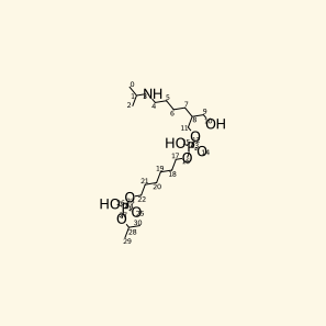 CC(C)NCCCCC(CO)COP(=O)(O)OCCCCCCOP(=O)(O)OC(C)C